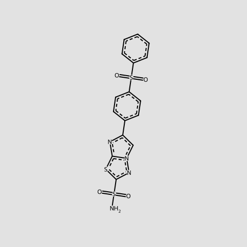 NS(=O)(=O)c1nn2cc(-c3ccc(S(=O)(=O)c4ccccc4)cc3)nc2s1